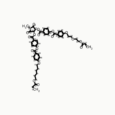 C=CC(=O)OCCCCCCOc1ccc(C(=O)Oc2ccc(C(=O)O[C@H]3C(=O)N(C)C(=O)[C@@H]3OC(=O)c3ccc(OC(=O)c4ccc(OCCOCCOC(=O)C=C)cc4)cc3)cc2)cc1